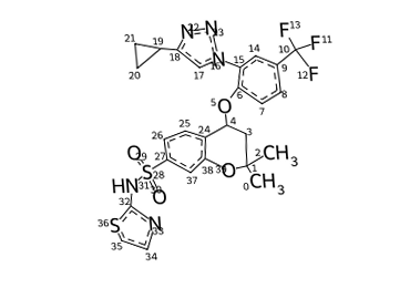 CC1(C)CC(Oc2ccc(C(F)(F)F)cc2-n2cc(C3CC3)nn2)c2ccc(S(=O)(=O)Nc3nccs3)cc2O1